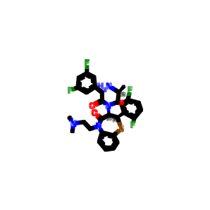 C[C@H](N)C(=O)N(C(=O)Cc1cc(F)cc(F)c1)[C@@H]1C(=O)N(CCN(C)C)c2ccccc2S[C@@H]1c1cc(F)ccc1F